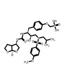 COc1ccc(S(=O)(=O)N(CC(C)C)C[C@@H](O)[C@H](Cc2ccc(OCP(=O)(O)O)cc2)NC(=O)O[C@H]2CO[C@H]3OCCC32)cc1